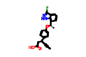 CC#CC(CC(=O)O)c1ccc(O[C@@H](C)c2cccc3c(F)n[nH]c23)cc1